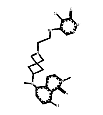 CN(c1ccc(Cl)c2c(=O)n(C)ccc12)C1CC2(C1)CN(CCNc1cn[nH]c(=O)c1Cl)C2